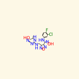 CC(CO)N/C(=N\C#N)NCc1nonc1/C(=N\O)Nc1ccc(F)c(Cl)c1